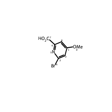 COc1cc(Br)nc(C(=O)O)c1